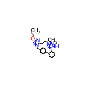 CCCCc1nc(OCCC)nn1Cc1ccc(-c2ccccc2-c2nnn[nH]2)cc1